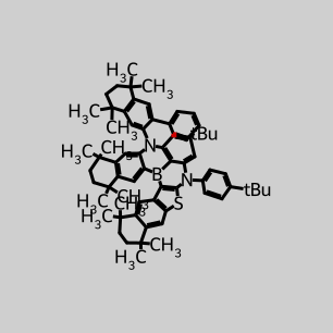 CC(C)(C)c1ccc(N2c3cc(C(C)(C)C)cc4c3B(c3cc5c(cc3N4c3cc4c(cc3-c3ccccc3)C(C)(C)CCC4(C)C)C(C)(C)CCC5(C)C)c3c2sc2cc4c(cc32)C(C)(C)CCC4(C)C)cc1